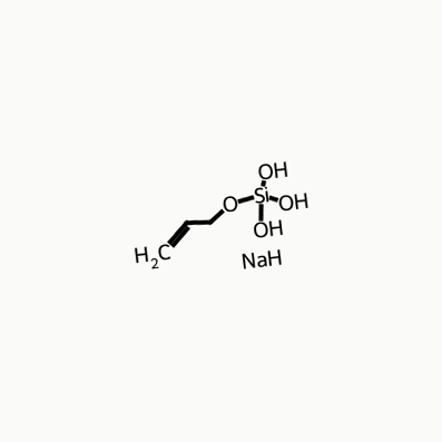 C=CCO[Si](O)(O)O.[NaH]